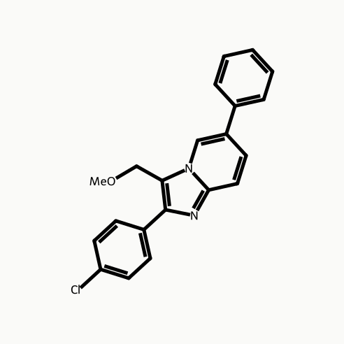 COCc1c(-c2ccc(Cl)cc2)nc2ccc(-c3ccccc3)cn12